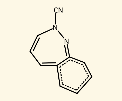 N#CN1C=CC=c2ccccc2=N1